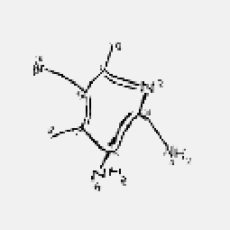 Cc1nc(N)c(N)c(C)c1Br